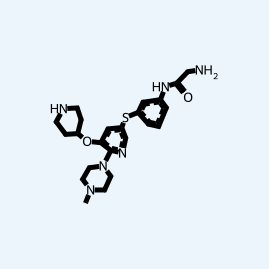 CN1CCN(c2ncc(Sc3cccc(NC(=O)CN)c3)cc2OC2CCNCC2)CC1